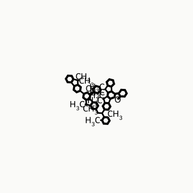 Cc1cccc(C)c1C(Cc1ccc2c(c1)C(C)(C)c1cc(-c3ccc4c(c3)C(C)(C)c3ccccc3-4)c3oc4ccccc4c3c1-2)c1ccc2c(c1)C(C)(C)c1c3c(c4c(oc5ccccc54)c1-2)-c1ccccc1C3(C)C